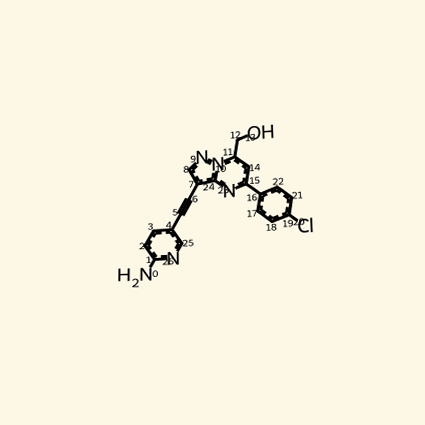 Nc1ccc(C#Cc2cnn3c(CO)cc(-c4ccc(Cl)cc4)nc23)cn1